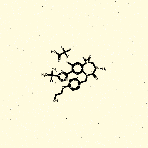 CC(C)(C)c1nnc(-c2cc3c(cc2F)S(=O)(=O)C[C@H](N)C(=O)N3Cc2ccc(OCCO)cc2)o1.O=C(O)C(F)(F)F